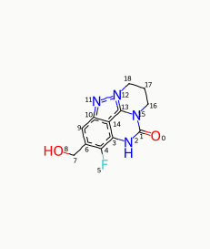 O=C1Nc2c(F)c(CO)cc3nn4c(c23)N1CCC4